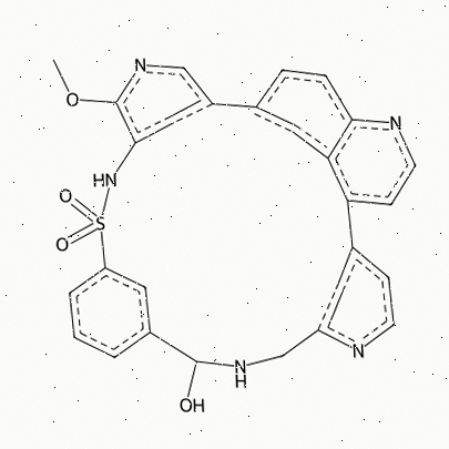 COc1ncc2cc1NS(=O)(=O)c1cccc(c1)C(O)NCc1cc(ccn1)-c1ccnc3ccc-2cc13